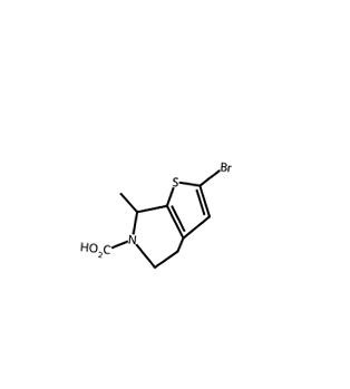 CC1c2sc(Br)cc2CCN1C(=O)O